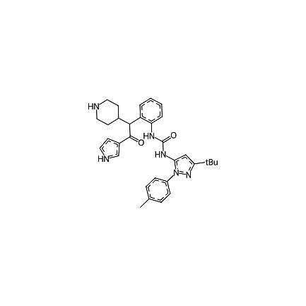 Cc1ccc(-n2nc(C(C)(C)C)cc2NC(=O)Nc2ccccc2C(C(=O)c2cc[nH]c2)C2CCNCC2)cc1